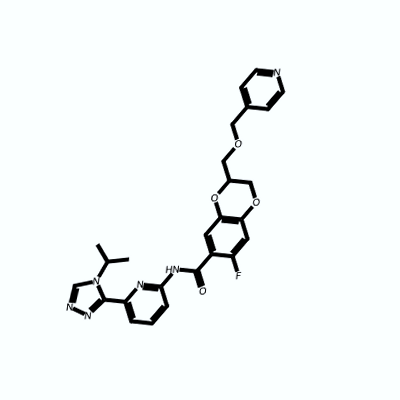 CC(C)n1cnnc1-c1cccc(NC(=O)c2cc3c(cc2F)OCC(COCc2ccncc2)O3)n1